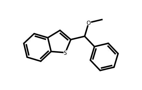 COC(c1ccccc1)c1cc2ccccc2s1